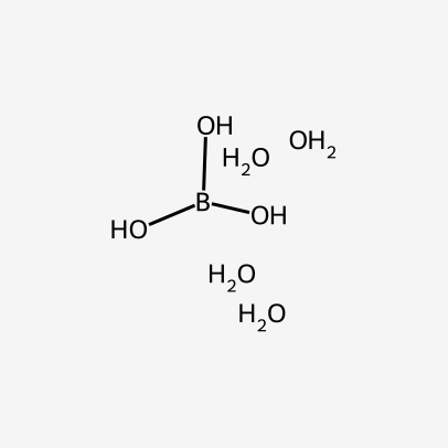 O.O.O.O.OB(O)O